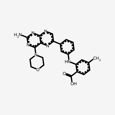 Cc1ccc(C(=O)O)c(Nc2cccc(-c3cnc4nc(N)nc(N5CCOCC5)c4n3)c2)c1